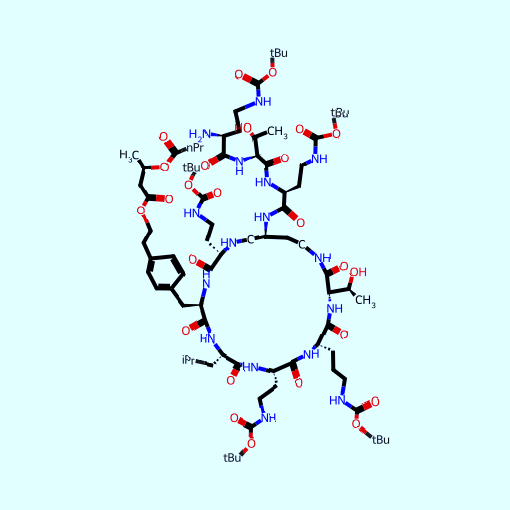 CCCC(=O)OC(C)CC(=O)OCCc1ccc(C[C@H]2NC(=O)[C@H](CCNC(=O)OC(C)(C)C)NC[C@@H](NC(=O)[C@H](CCNC(=O)OC(C)(C)C)NC(=O)[C@@H](NC(=O)[C@@H](N)CCNC(=O)OC(C)(C)C)C(C)O)CCNC(=O)[C@H]([C@H](C)O)NC(=O)[C@H](CCCNC(=O)OC(C)(C)C)NC(=O)[C@H](CCNC(=O)OC(C)(C)C)NC(=O)[C@H](CC(C)C)NC2=O)cc1